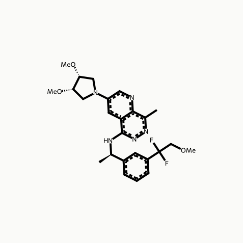 COCC(F)(F)c1cccc([C@@H](C)Nc2nnc(C)c3ncc(N4C[C@H](OC)[C@H](OC)C4)cc23)c1